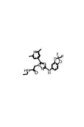 CCNC(=O)Cn1nc(Nc2ccc3c(c2)OC(F)(F)O3)nc1-c1cc(C)nc(C)c1